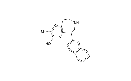 Oc1cc2c(cc1Cl)CCNCC2c1ccc2ccccc2c1